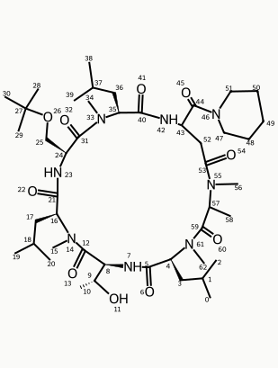 CC(C)C[C@H]1C(=O)N[C@@H]([C@@H](C)O)C(=O)N(C)[C@@H](CC(C)C)C(=O)N[C@@H](COC(C)(C)C)C(=O)N(C)[C@@H](CC(C)C)C(=O)NC(C(=O)N2CCCCC2)CC(=O)N(C)C(C)C(=O)N1C